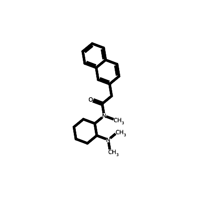 CN(C)C1CCCCC1N(C)C(=O)Cc1ccc2ccccc2c1